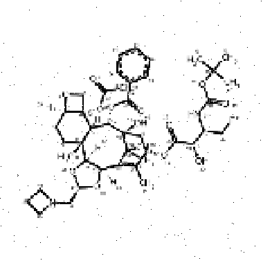 CC(=O)O[C@@]12CO[C@@H]1CC[C@@]1(C)[C@@H]3O[C@H](CN4CCC4)O[C@@H]3C3=C(C)[C@@H](OC(=O)[C@H](O)[C@H](CF)NC(=O)OC(C)(C)C)C[C@@](O)([C@@H](OC(=O)c4ccccc4)[C@@H]12)C3(C)C